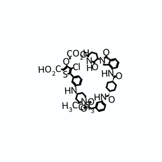 CC1(C)C[C@@H](Nc2cccc(-c3sc(C(=O)O)c(OCC(=O)O)c3Cl)c2)CCN1S(=O)(=O)Cc1cccc(NC(=O)[C@H]2CC[C@H](C(=O)Nc3cccc4c3CN(C3CCC(=O)NC3=O)C4=O)CC2)c1